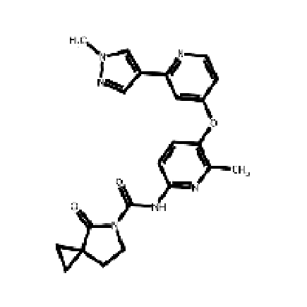 Cc1nc(NC(=O)N2CCC3(CC3)C2=O)ccc1Oc1ccnc(-c2cnn(C)c2)c1